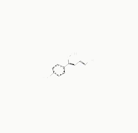 C/C=C/C=C(\SC)c1ccc(C)cc1